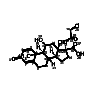 C[C@]12C=CC(=O)C=C1CC[C@@H]1[C@@H]2[C@@H](O)C[C@@]2(C)[C@H]1CC[C@]2(OC(=O)CCl)C(=O)O